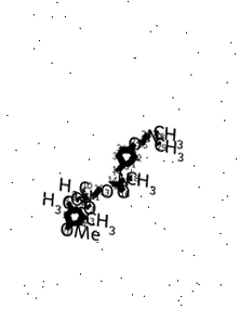 COc1cc(C)c(S(=O)(=O)N(C)CCOCC(=O)N(C)Cc2ccc(OCCN(C)C)cc2)c(C)c1